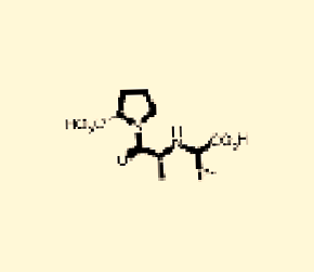 CC(C)C(N[C@@H](C)C(=O)N1CCC[C@H]1C(=O)O)C(=O)O